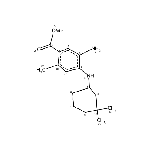 COC(=O)c1cc(N)c(NC2CCCC(C)(C)C2)cc1C